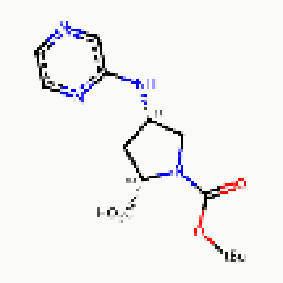 CC(C)(C)OC(=O)N1C[C@@H](Nc2cnccn2)C[C@H]1C(=O)O